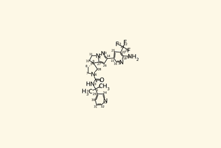 CC(C)(NC(=O)N1CC[C@@]2(CCn3nc(-c4cnc(N)c(C(F)(F)F)c4)cc32)C1)c1cccnc1